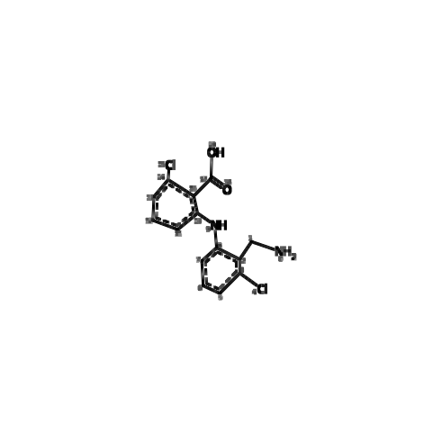 NCc1c(Cl)cccc1Nc1cccc(Cl)c1C(=O)O